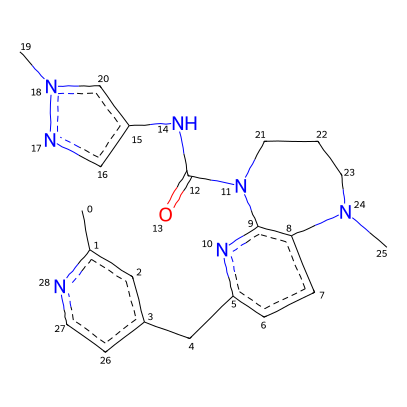 Cc1cc(Cc2ccc3c(n2)N(C(=O)Nc2cnn(C)c2)CCCN3C)ccn1